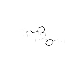 CCCCCCCC[C@H](O)/C=C/c1cccc(C[C@H](O)c2cccc(CO)c2)n1